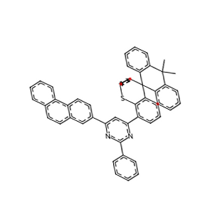 CC1(C)c2ccccc2C2(c3ccccc3Sc3c(-c4cc(-c5ccc6c(ccc7ccccc76)c5)nc(-c5ccccc5)n4)cccc32)c2ccccc21